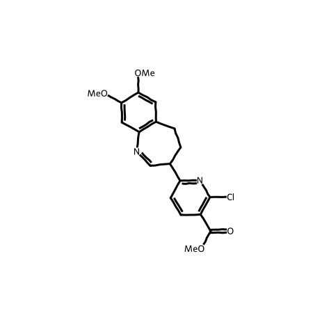 COC(=O)c1ccc(C2C=Nc3cc(OC)c(OC)cc3CC2)nc1Cl